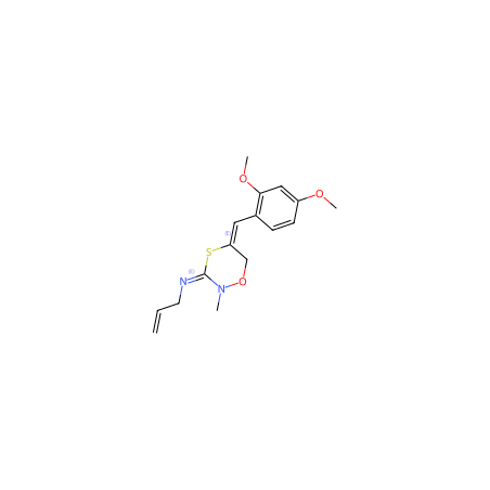 C=CC/N=C1/S/C(=C/c2ccc(OC)cc2OC)CON1C